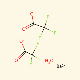 O.O=C([O-])C(F)(F)F.O=C([O-])C(F)(F)F.[Ba+2]